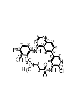 CN(C)CCS(=O)(=O)Nc1cc(-c2ccc3ncnc(Nc4ccc(F)c(Cl)c4)c3c2)cnc1Cl